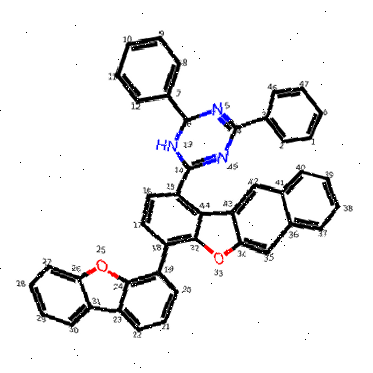 c1ccc(C2=NC(c3ccccc3)NC(c3ccc(-c4cccc5c4oc4ccccc45)c4oc5cc6ccccc6cc5c34)=N2)cc1